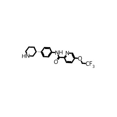 O=C(Nc1ccc([C@H]2CCCNC2)cc1)c1ccc(OCC(F)(F)F)cn1